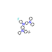 CC(C)(C)c1ccc2c(c1)c1cc(N(c3ccc(F)cc3)c3ccc(N(c4ccccc4)c4ccccc4)cc3)ccc1n2-c1ccccc1